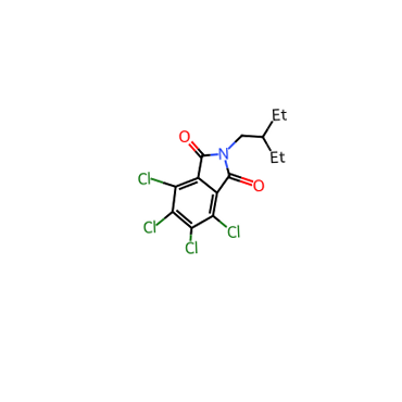 CCC(CC)CN1C(=O)c2c(Cl)c(Cl)c(Cl)c(Cl)c2C1=O